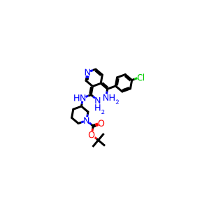 CC(C)(C)OC(=O)N1CCCC(N/C(N)=c2\cncc\c2=C(\N)c2ccc(Cl)cc2)C1